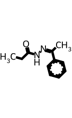 CCC(=O)N/N=C(/C)c1ccccc1